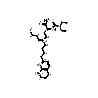 CCN(CC)C(=O)N[C@@H](CCN(CCCF)CCCCc1ccc2c(n1)NCCC2)C(=O)O